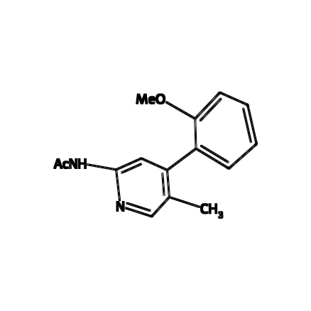 COc1ccccc1-c1cc(NC(C)=O)ncc1C